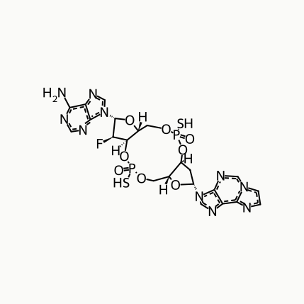 Nc1ncnc2c1ncn2[C@@H]1O[C@@H]2COP(=O)(S)O[C@H]3C[C@H](n4cnc5c4ncn4ccnc54)O[C@@H]3COP(=O)(S)O[C@H]2[C@H]1F